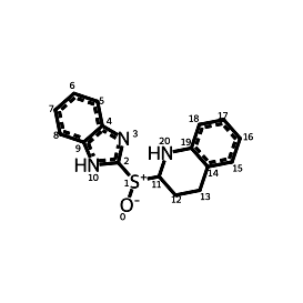 [O-][S+](c1nc2ccccc2[nH]1)C1CCc2ccccc2N1